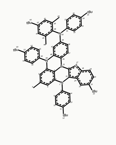 Cc1cc2c3c(c1)N(c1ccc(C(C)(C)C)cc1)c1c(sc4ccc(C(C)(C)C)cc14)B3c1ccc(N(c3ccc(C(C)(C)C)cc3)c3c(C)cc(C(C)(C)C)cc3C)cc1N2c1ccc(C(C)(C)C)cc1